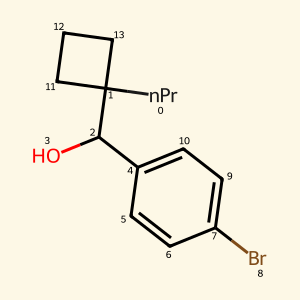 CCCC1(C(O)c2ccc(Br)cc2)CCC1